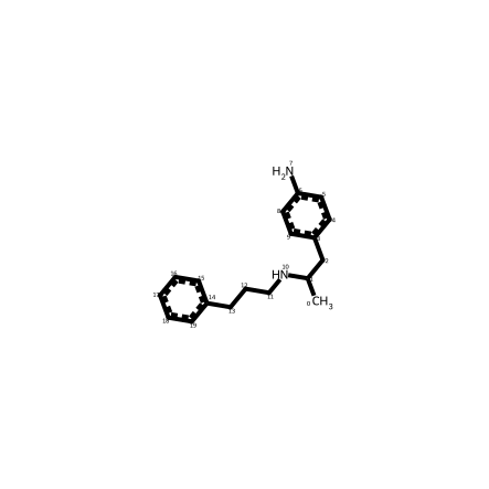 CC(Cc1ccc(N)cc1)NCCCc1ccccc1